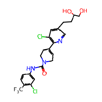 O=C(Nc1ccc(C(F)(F)F)c(Cl)c1)N1CC=C(c2ncc(CC[C@@H](O)CO)cc2Cl)CC1